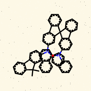 CC1(C)c2ccccc2-c2ccc(N(c3ccccc3)c3ccc4c(c3)C3(c5ccccc5-4)c4ccccc4-c4ccc(N(c5ccccc5)c5cccc6ccccc56)cc43)cc21